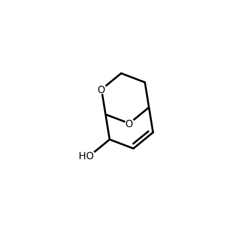 OC1C=CC2CCOC1O2